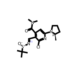 C[C@@H]1CCCN1c1cc(C(=O)N(C)C)c(/C=N/[S+]([O-])C(C)(C)C)c(Cl)n1